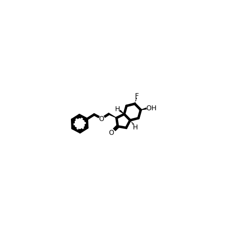 O=C1C[C@@H]2C[C@H](O)[C@@H](F)C[C@H]2[C@@H]1COCc1ccccc1